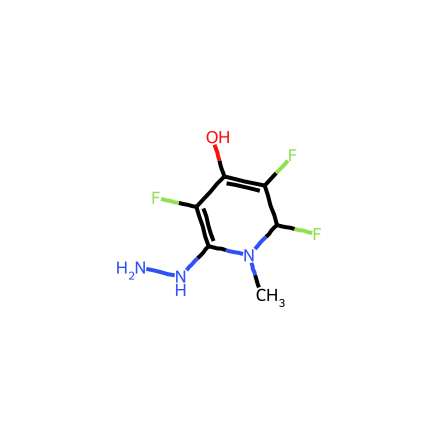 CN1C(NN)=C(F)C(O)=C(F)C1F